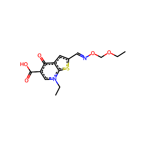 CCOCO/N=C/c1cc2c(=O)c(C(=O)O)cn(CC)c2s1